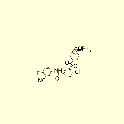 C[C@H]1CC2CC(S(=O)(=O)c3cc(C(=O)Nc4ccc(F)c(C#N)c4)ccc3Cl)CC1[C@]2(C)O